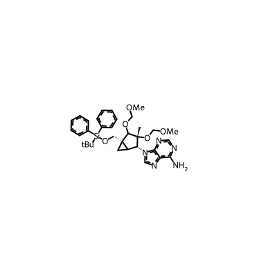 COCOC1[C@]2(CO[Si](c3ccccc3)(c3ccccc3)C(C)(C)C)CC2[C@@H](n2cnc3c(N)ncnc32)[C@@]1(C)OCOC